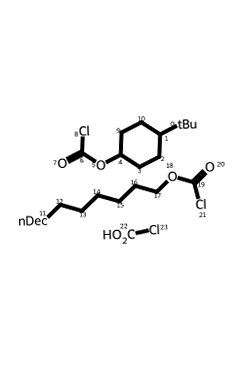 CC(C)(C)C1CCC(OC(=O)Cl)CC1.CCCCCCCCCCCCCCCCOC(=O)Cl.O=C(O)Cl